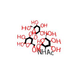 CC(=O)N[C@H]1C(O)O[C@H](CO)[C@H](O)[C@@H]1O.OC[C@H]1O[C@@H](O[C@H]2[C@H](O)[C@@H](O)C(O)O[C@@H]2CO)[C@H](O)[C@@H](O)[C@H]1O